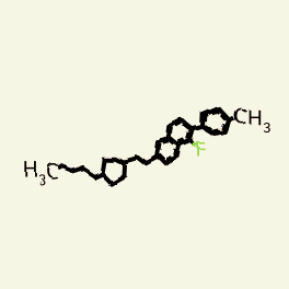 CCCCCC1CCC(CCc2ccc3c(F)c(-c4ccc(C)cc4)ccc3c2)CC1